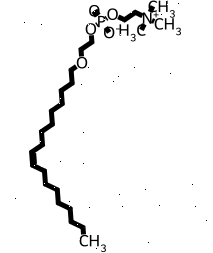 CCCCCCCC/C=C\CCCCCCCCOCCOP(=O)([O-])OCC[N+](C)(C)C